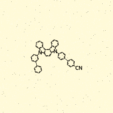 N#Cc1ccc(-c2ccc(-n3c4ccccc4c4c5c6ccccc6n(-c6cccc(-c7ccccc7)c6)c5ccc43)cc2)cc1